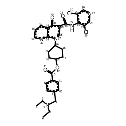 CCN(CC)Cc1ccc(C(=O)OC2CCC(n3cc(C(=O)Nc4c(Cl)cncc4Cl)c(=O)c4cccnc43)CC2)cc1